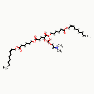 CCCCCC/C=C\COC(=O)CCCCCOC(=O)CCC(OC(=O)OCCN(C)C)C(=O)OCCCCCC(=O)OC/C=C\CCCCCC